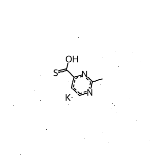 Cc1nccc(C(O)=S)n1.[K]